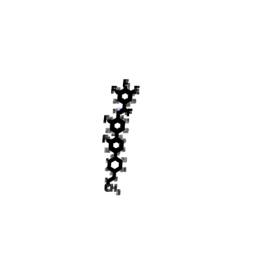 CCCC1CCC(c2ccc(-c3ccc(/C=C(\F)c4cc(F)c(F)c(F)c4)c(F)c3)c(F)c2)CC1